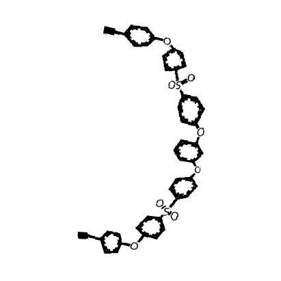 C#Cc1ccc(Oc2ccc(S(=O)(=O)c3ccc(Oc4cccc(Oc5ccc(S(=O)(=O)c6ccc(Oc7ccc(C#C)cc7)cc6)cc5)c4)cc3)cc2)cc1